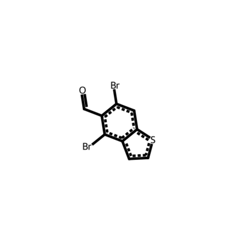 O=Cc1c(Br)cc2sccc2c1Br